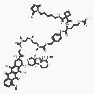 COc1cccc2c1C(=O)c1c(O)c3c(c(O)c1C2=O)C[C@@](O)(C(=O)COC(=O)N(C)CCN(C)CCN(C)C(=O)OCc1ccc(NC(=O)[C@H](CCCNC(N)=O)NC(=O)C2(C(=O)NCCCCCN4C(=O)C=CC4=O)CCC2)cc1)C[C@@H]3O[C@H]1C[C@H]2[C@H](O[C@@H]3[C@@H](OC)OCCN32)[C@H](C)O1